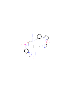 CN1CCC(Oc2cccc(-c3cccc(CNCCC4CN(c5ccc6c(c5)NC(=O)CS6)C(=O)O4)c3)n2)C1